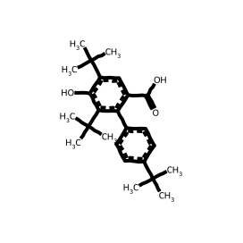 CC(C)(C)c1ccc(-c2c(C(=O)O)cc(C(C)(C)C)c(O)c2C(C)(C)C)cc1